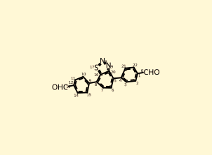 O=Cc1ccc(-c2ccc(-c3ccc(C=O)cc3)c3snnc23)cc1